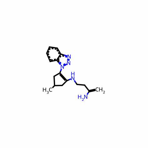 C=C(N)CCNC1=C(n2nnc3ccccc32)CC(C)C1